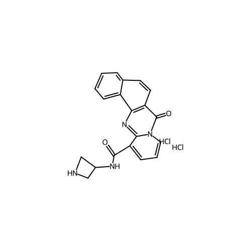 Cl.Cl.O=C(NC1CNC1)c1cccn2c(=O)c3ccc4ccccc4c3nc12